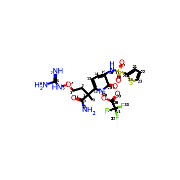 CC(CCONC(=N)N)(C(N)=O)c1ccc(NS(=O)(=O)c2cccs2)c(=O)n1OC(=O)C(F)(F)F